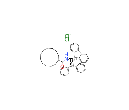 O=C([NH][Ti+2]([CH]1c2ccccc2-c2ccccc21)=[Si](c1ccccc1)c1ccccc1)C1CCCCCCCCCCC1.[Cl-].[Cl-]